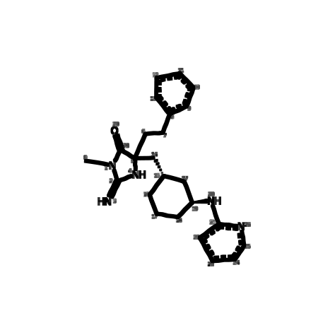 CN1C(=N)NC(CCc2ccccc2)(C[C@H]2CCC[C@H](Nc3ccccn3)C2)C1=O